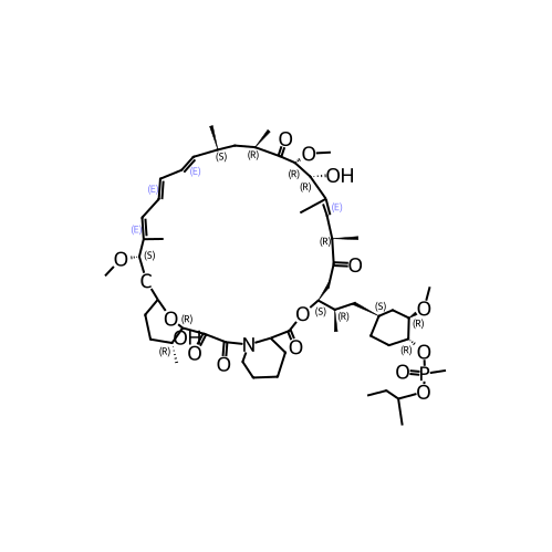 CCC(C)OP(C)(=O)O[C@@H]1CC[C@@H](C[C@@H](C)[C@@H]2CC(=O)[C@H](C)/C=C(\C)[C@@H](O)[C@@H](OC)C(=O)[C@H](C)C[C@H](C)/C=C/C=C/C=C(\C)[C@@H](OC)CC3CC[C@@H](C)[C@@](O)(O3)C(=O)C(=O)N3CCCCC3C(=O)O2)C[C@H]1OC